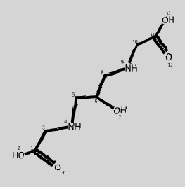 O=C(O)CNCC(O)CNCC(=O)O